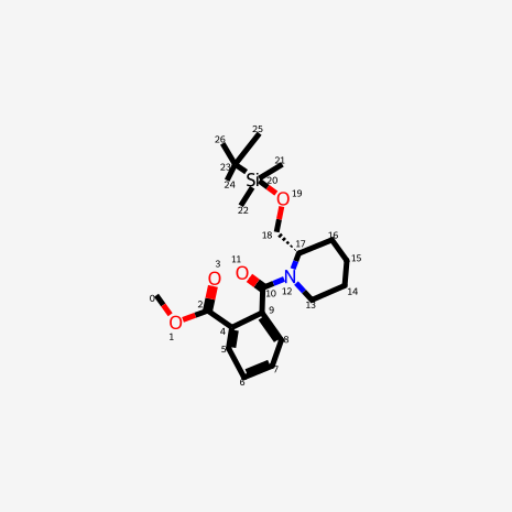 COC(=O)c1ccccc1C(=O)N1CCCC[C@H]1CO[Si](C)(C)C(C)(C)C